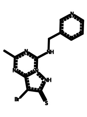 Cc1nc(NCc2cccnc2)n2[nH]c(=S)c(Br)c2n1